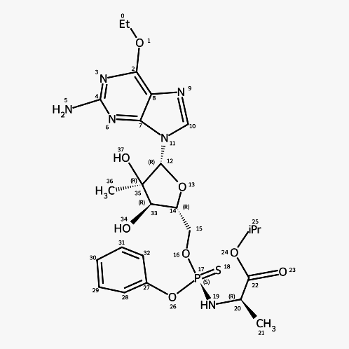 CCOc1nc(N)nc2c1ncn2[C@@H]1O[C@H](CO[P@@](=S)(N[C@H](C)C(=O)OC(C)C)Oc2ccccc2)[C@@H](O)[C@@]1(C)O